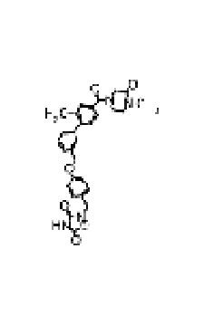 Cc1cc(C(=O)N2CCN(C)C(=O)C2)ccc1-c1cccc(COc2ccc(Cn3oc(=O)[nH]c3=O)cc2)c1